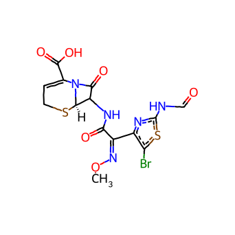 CO/N=C(\C(=O)NC1C(=O)N2C(C(=O)O)=CCS[C@H]12)c1nc(NC=O)sc1Br